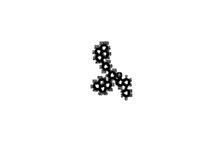 c1ccc(-c2cccc3c2ccc2c3oc3cc(-c4ccc(-c5ccc6ccc7cccc8ccc5c6c78)cc4)cc(-c4ccc5ccc6cccc7ccc4c5c67)c32)cc1